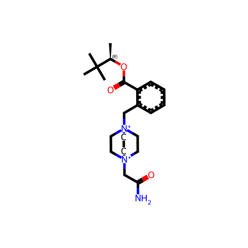 C[C@@H](OC(=O)c1ccccc1C[N+]12CC[N+](CC(N)=O)(CC1)CC2)C(C)(C)C